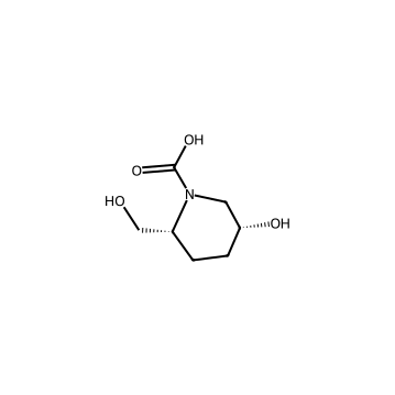 O=C(O)N1C[C@H](O)CC[C@@H]1CO